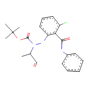 CC(C=O)N(Nc1cccc(Cl)c1C(=O)Nc1ccccc1)C(=O)OC(C)(C)C